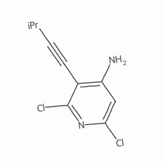 CC(C)C#Cc1c(N)cc(Cl)nc1Cl